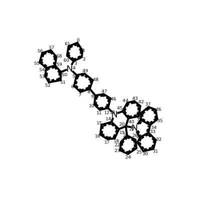 c1ccc(N(c2ccc(-c3ccc(N4c5ccccc5C(c5ccccc5)(n5c6ccccc6c6ccccc65)c5ccccc54)cc3)cc2)c2cccc3ccccc23)cc1